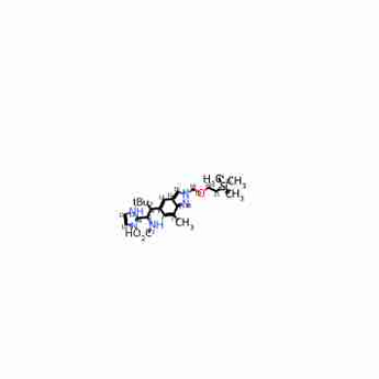 Cc1cc(C(C(NC(=O)O)c2ncc[nH]2)C(C)(C)C)cc2cn(COCC[Si](C)(C)C)nc12